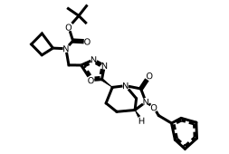 CC(C)(C)OC(=O)N(Cc1nnc([C@@H]2CC[C@@H]3CN2C(=O)N3OCc2ccccc2)o1)C1CCC1